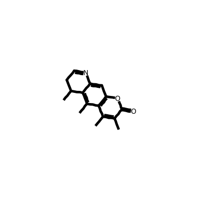 Cc1c(C)c2c(C)c3c(cc2oc1=O)N=CCC3C